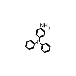 N.c1ccc(P(c2ccccc2)c2ccccc2)cc1